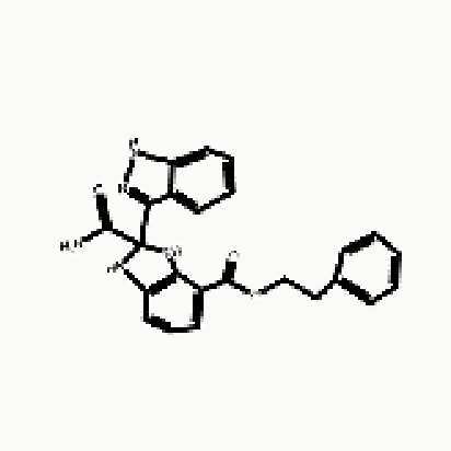 NC(=O)C1(c2n[nH]c3ccccc23)Nc2cccc(C(=O)OCCc3ccccc3)c2N1